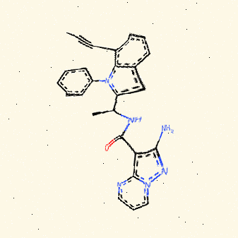 CC#Cc1cccc2cc([C@H](C)NC(=O)c3c(N)nn4cccnc34)n(-c3ccccc3)c12